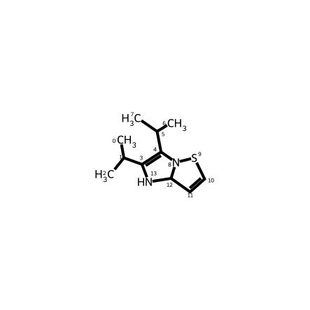 CC(C)C1=C(C(C)C)N2SC=CC2N1